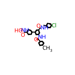 Cc1ccc(C(=O)Nc2cc(C(=O)NCc3ccc(Cl)cc3)cc(-c3ccc(C(=O)NO)cc3)c2)cc1